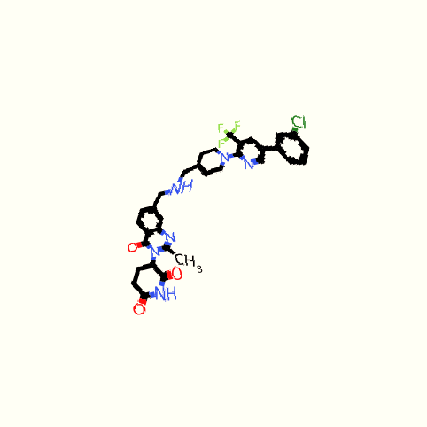 Cc1nc2cc(CNCC3CCN(c4ncc(-c5cccc(Cl)c5)cc4C(F)(F)F)CC3)ccc2c(=O)n1C1CCC(=O)NC1=O